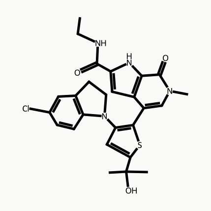 CCNC(=O)c1cc2c(-c3sc(C(C)(C)O)cc3N3CCc4cc(Cl)ccc43)cn(C)c(=O)c2[nH]1